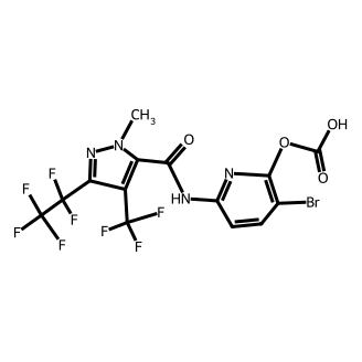 Cn1nc(C(F)(F)C(F)(F)F)c(C(F)(F)F)c1C(=O)Nc1ccc(Br)c(OC(=O)O)n1